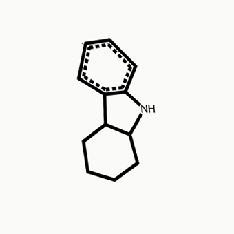 [c]1ccc2c(c1)C1CCCCC1N2